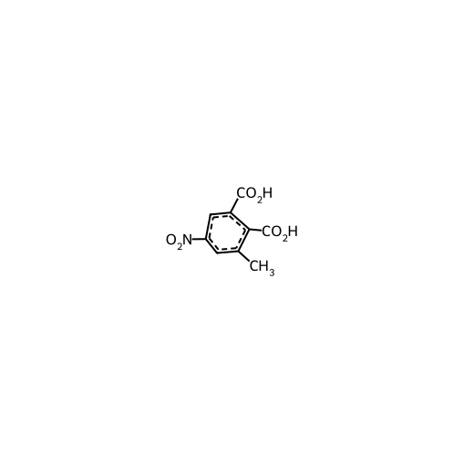 Cc1cc([N+](=O)[O-])cc(C(=O)O)c1C(=O)O